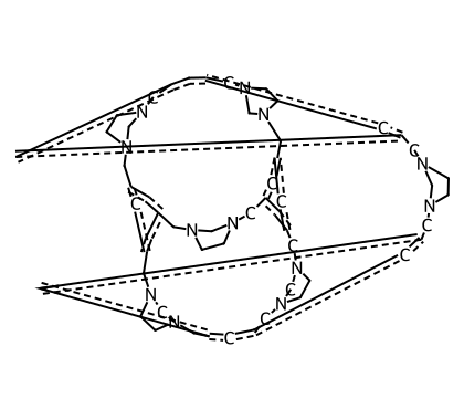 c1c2cc3cc1CN1CCN(Cc4cc5cc(c4)CN4CCN(Cc6cc(cc(c6)CN6CCN(Cc7cc(cc(c7)CN7CCN(C5)C7)CN5CCN(C2)C5)C6)CN2CCN(C3)C2)C4)C1